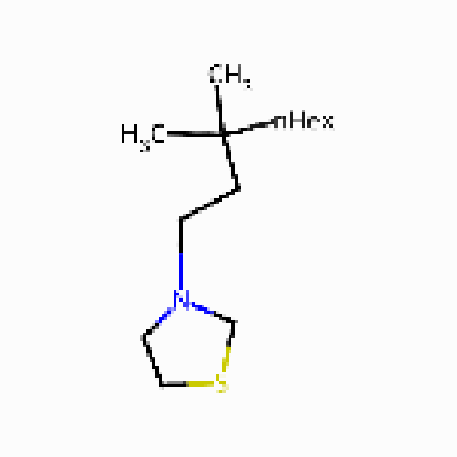 CCCCCCC(C)(C)CCN1CCSC1